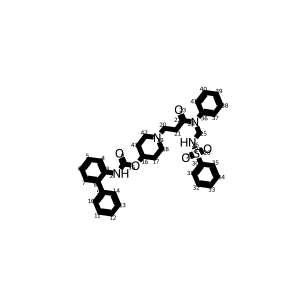 O=C(Nc1ccccc1-c1ccccc1)OC1CCN(CCC(=O)N(CNS(=O)(=O)c2ccccc2)c2ccccc2)CC1